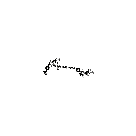 Cc1ncsc1-c1ccc(CNC(=O)[C@@H]2C[C@@H](O)CN2C(=O)C(NC(=O)COCCCOCCCCOc2ccc(N3C(=S)N(c4cnc(C#N)c(C(F)(F)F)c4)C(=O)C3(C)C)cc2)C(C)(C)C)cc1